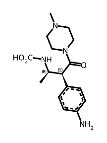 C[C@@H](NC(=O)O)[C@@H](C(=O)N1CCN(C)CC1)c1ccc(N)cc1